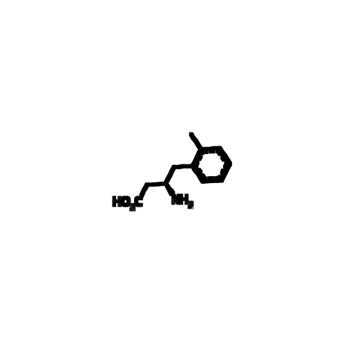 Cc1ccccc1C[C@@H](N)CC(=O)O